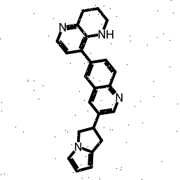 c1cc2n(c1)CC(c1cnc3ccc(-c4ccnc5c4NCCC5)cc3c1)C2